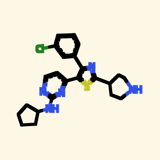 Clc1cccc(-c2nc(C3CCNCC3)sc2-c2ccnc(NC3CCCC3)n2)c1